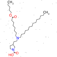 CCCCCCCCCCCCCCN(CCCCCCCC(=O)OCCCCC)CCC1CCN(C(=O)O)C1